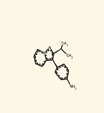 CC(C)c1nn2ccccc2c1-c1ccc(N)cc1